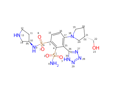 NS(=O)(=O)c1c(S(=O)(=O)N[C@@H]2CCNC2)ccc(N2CC[C@H](CO)C2)c1-c1nnn[nH]1